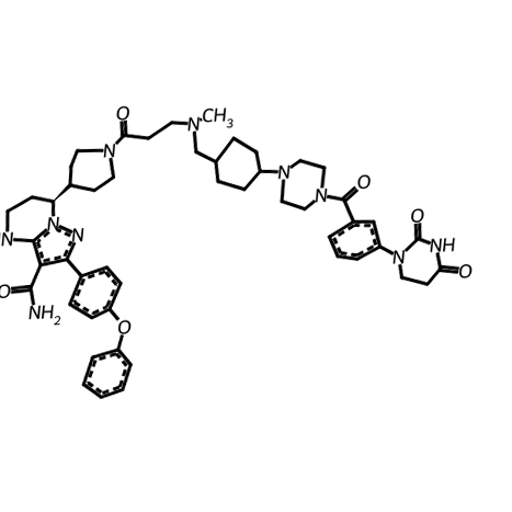 CN(CCC(=O)N1CCC([C@@H]2CCNc3c(C(N)=O)c(-c4ccc(Oc5ccccc5)cc4)nn32)CC1)CC1CCC(N2CCN(C(=O)c3cccc(N4CCC(=O)NC4=O)c3)CC2)CC1